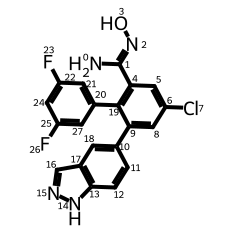 N/C(=N\O)c1cc(Cl)cc(-c2ccc3[nH]ncc3c2)c1-c1cc(F)cc(F)c1